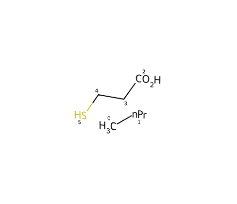 CCCC.O=C(O)CCS